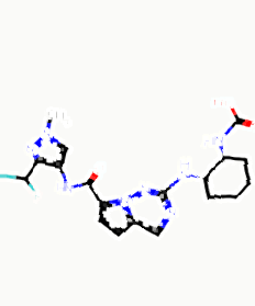 Cn1cc(NC(=O)c2ccc3cnc(N[C@@H]4CCCC[C@@H]4NC(=O)O)nn23)c(C(F)F)n1